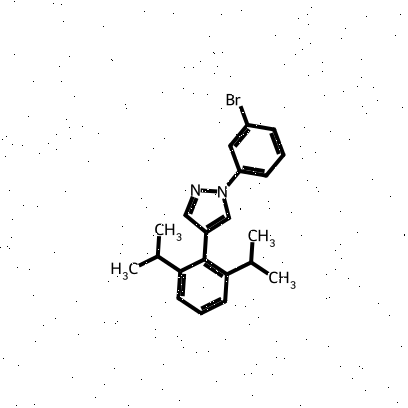 CC(C)c1cccc(C(C)C)c1-c1cnn(-c2cccc(Br)c2)c1